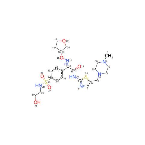 CN1CCN(Cc2cnc(NC(=O)/C(=N/O[C@@H]3CCOC3)c3ccc(S(=O)(=O)NCCO)cc3)s2)CC1